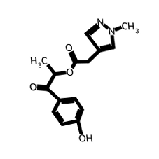 CC(OC(=O)Cc1cnn(C)c1)C(=O)c1ccc(O)cc1